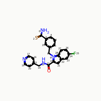 NC(=S)c1cccc(Cn2c(C(=O)NCc3ccncc3)cc3cc(F)ccc32)c1